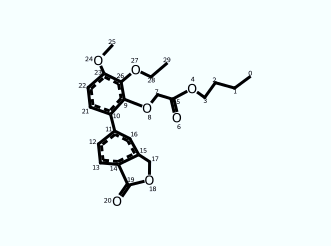 CCCCOC(=O)COc1c(-c2ccc3c(c2)COC3=O)ccc(OC)c1OCC